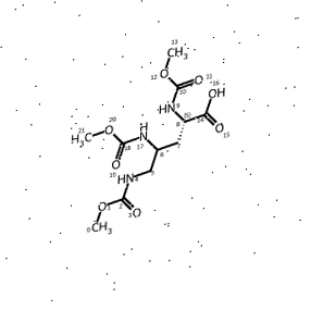 COC(=O)NCC(C[C@H](NC(=O)OC)C(=O)O)NC(=O)OC